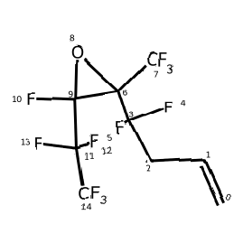 C=C[CH]C(F)(F)C1(C(F)(F)F)OC1(F)C(F)(F)C(F)(F)F